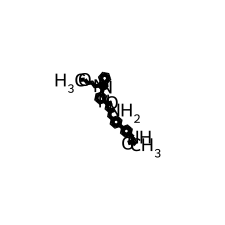 COCCCn1c(C2CCCN(C(=O)CC(N)Cc3ccc(-c4ccc(NC(C)=O)cc4)cc3)C2)nc2ccccc21